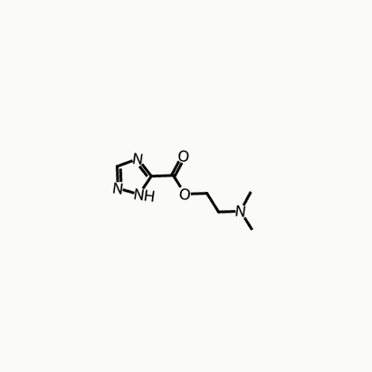 CN(C)CCOC(=O)c1ncn[nH]1